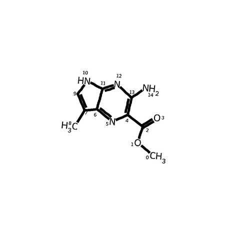 COC(=O)c1nc2c(C)c[nH]c2nc1N